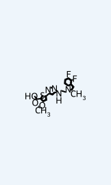 CCOc1cc(-c2cc(NCCn3c(C)cc4c(F)c(F)ccc43)ncn2)sc1C(=O)O